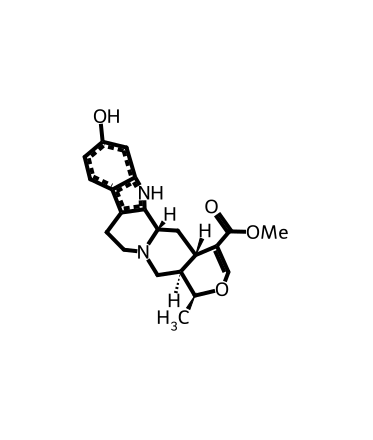 COC(=O)C1=CO[C@@H](C)[C@H]2CN3CCc4c([nH]c5cc(O)ccc45)[C@@H]3C[C@H]12